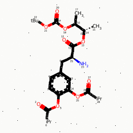 CC(C)C(=O)Oc1ccc(C[C@H](N)C(=O)O[C@@H](C)C(C)OC(=O)OC(C)(C)C)cc1OC(=O)C(C)C